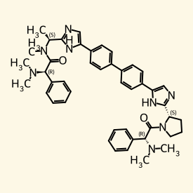 C[C@@H](c1ncc(-c2ccc(-c3ccc(-c4cnc([C@@H]5CCCN5C(=O)[C@@H](c5ccccc5)N(C)C)[nH]4)cc3)cc2)[nH]1)N(C)C(=O)[C@@H](c1ccccc1)N(C)C